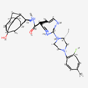 C[C@@H]1CN(c2ccc([N+](=O)[O-])cc2F)CCN1c1nccc(C(=O)NC2C3CC4CC2CC(O)(C4)C3)n1